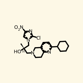 C[C@](O)(CN1CCc2nc(C3CCCCC3)ccc2C1)Cn1cc([N+](=O)[O-])nc1Cl